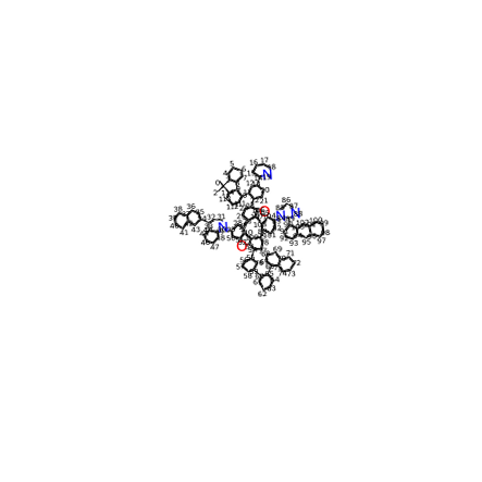 CC1(C)c2ccccc2-c2c(-c3cc(-c4ccccn4)ccc3-c3ccc4c5cc(N6CC=C(c7ccc8ccccc8c7)c7ccccc76)cc6oc7c(-c8cccc(-c9ccccc9-c9cccc%10ccccc9%10)c8)ccc(c8ccc(N9C=CC=NC9c9cccc%10cc%11ccccc%11cc9%10)c9oc3c4c98)c7c65)cccc21